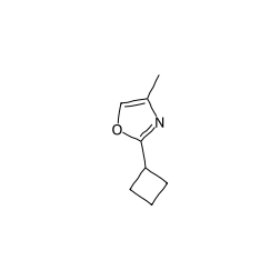 Cc1coc(C2CCC2)n1